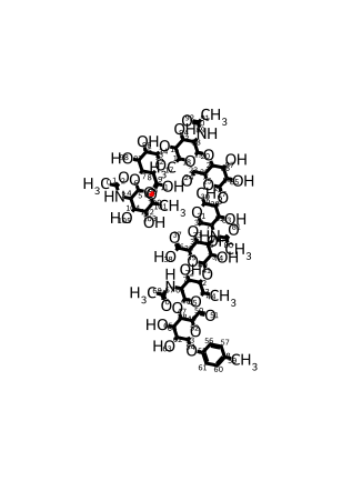 CC(=O)NC1C(OC2C(C(=O)O)OC(OC3C(C)OC(OC4C(C=O)OC(OC5C(C)OC(OC6C(C(=O)O)OC(OC7C(C)OC(OC8C(C=O)OC(Oc9ccc(C)cc9)C(O)C8O)C(NC(C)=O)C7O)C(O)C6O)C(NC(C)=O)C5O)C(O)C4O)C(NC(C)=O)C3O)C(O)C2O)OC(C)C(O)C1O